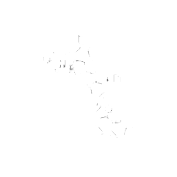 CCCc1cc(-c2cc3ccc4ccccc4c3o2)ccc1C=Cc1ccc(I)cc1C(=O)N1CCOCC1